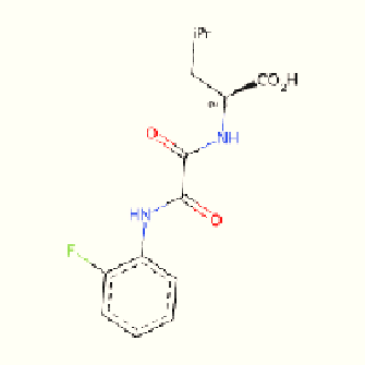 CC(C)C[C@H](NC(=O)C(=O)Nc1ccccc1F)C(=O)O